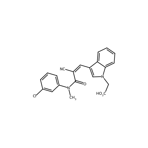 CN(C(=O)C(C#N)=Cc1cn(CC(=O)O)c2ccccc12)c1cccc(Cl)c1